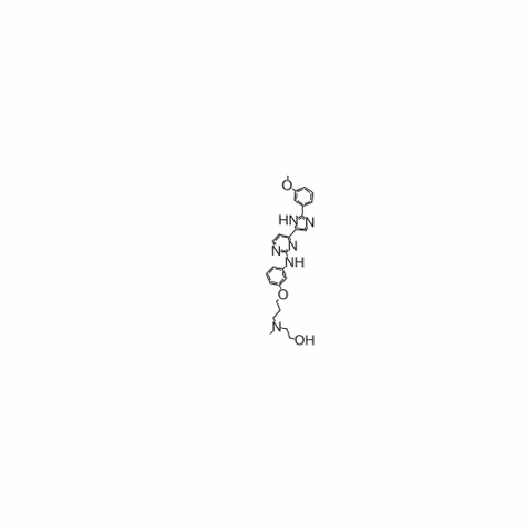 COc1cccc(-c2ncc(-c3ccnc(Nc4cccc(OCCCN(C)CCO)c4)n3)[nH]2)c1